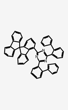 c1ccc(-c2ccccc2-c2nc(-c3ccccc3-c3ccccc3)nc(-c3cccc4c3-c3ccccc3C43c4ccccc4-c4ccccc43)n2)cc1